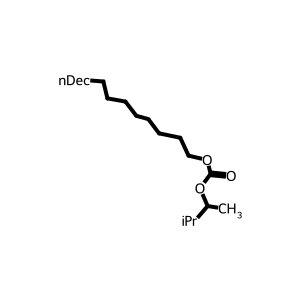 CCCCCCCCCCCCCCCCCCOC(=O)OC(C)C(C)C